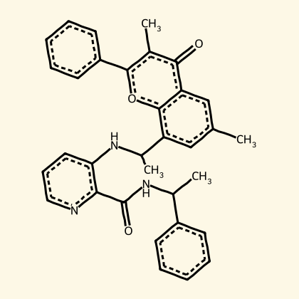 Cc1cc(C(C)Nc2cccnc2C(=O)NC(C)c2ccccc2)c2oc(-c3ccccc3)c(C)c(=O)c2c1